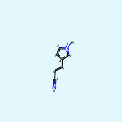 Cn1ccc(C=CC#N)c1